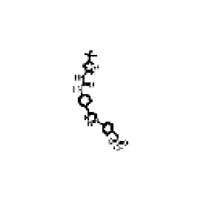 CC(C)(C)c1cc(NC(=O)Nc2ccc(-c3cn(-c4ccc(CS(=O)(=O)O)cc4)nn3)cc2)no1